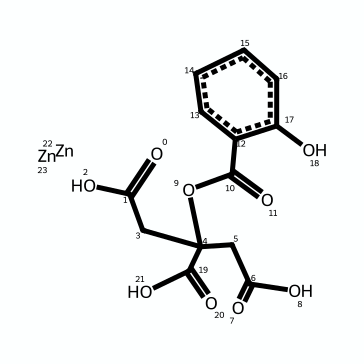 O=C(O)CC(CC(=O)O)(OC(=O)c1ccccc1O)C(=O)O.[Zn].[Zn]